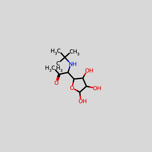 CC(=O)C(NC(C)(C)C)C1OC(O)C(O)C1O